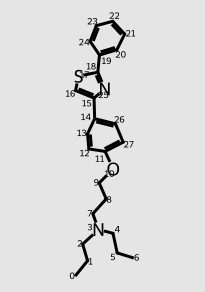 CCCN(CCC)CCCOc1ccc(-c2csc(-c3ccccc3)n2)cc1